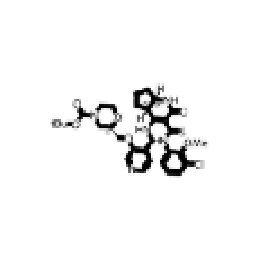 COc1c(Cl)cccc1NC(=S)C1=C(NCc2ccncc2OC[C@@H]2CN(C(=O)OC(C)(C)C)CCO2)[C@H]2CCC[C@H]2NC1=O